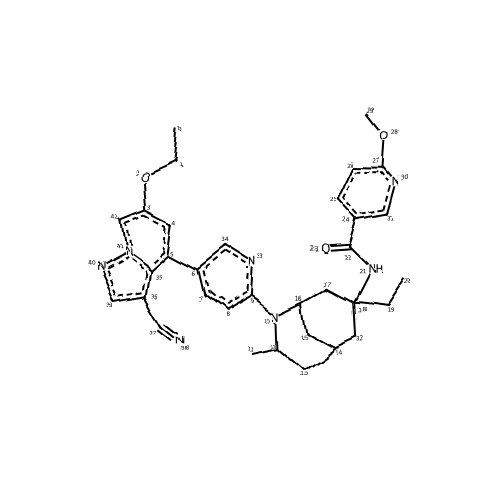 CCOc1cc(-c2ccc(N3C(C)CC4CC3CC(CC)(NC(=O)c3ccc(OC)nc3)C4)nc2)c2c(C#N)cnn2c1